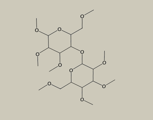 COCC1OC(OC2C(COC)OC(OC)C(OC)C2OC)C(OC)C(OC)C1OC